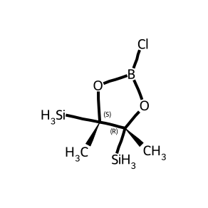 C[C@]1([SiH3])OB(Cl)O[C@@]1(C)[SiH3]